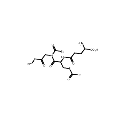 CCCOC(=O)CN(C(=O)CC)C(=O)C(CSC(=O)CC)NC(=O)CCC(N)C(=O)O